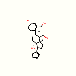 C[C@]1([C@H]2CC[C@@]3(C)[C@@H](CC[C@@]3(O)C3=CC=CC3)[C@@H]2CO)CC[C@H](O)C[C@@H]1CO